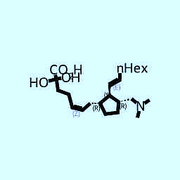 CCCCCC/C=C/[C@@H]1[C@@H](C/C=C\CCC(O)(O)C(=O)O)CC[C@H]1CN(C)C